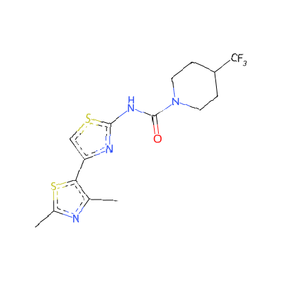 Cc1nc(C)c(-c2csc(NC(=O)N3CCC(C(F)(F)F)CC3)n2)s1